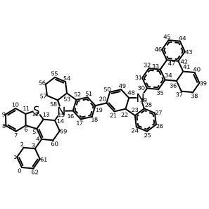 C1=CCC(C2=C3C4C=CC=CC4SC3C(N3c4ccc(C5=CC6c7ccccc7N(c7ccc8c(c7)C7CCC=CC7c7ccccc7-8)C6C=C5)cc4C4C=CCCC43)CC2)C=C1